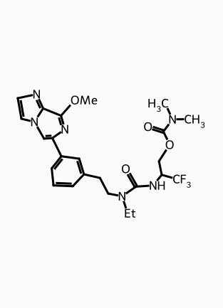 CCN(CCc1cccc(-c2cn3ccnc3c(OC)n2)c1)C(=O)NC(COC(=O)N(C)C)C(F)(F)F